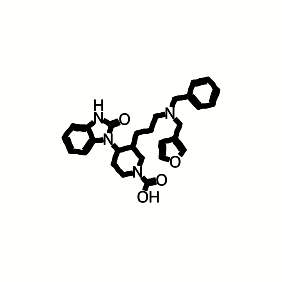 O=C(O)N1CCC(n2c(=O)[nH]c3ccccc32)C(CCCN(Cc2ccccc2)Cc2ccoc2)C1